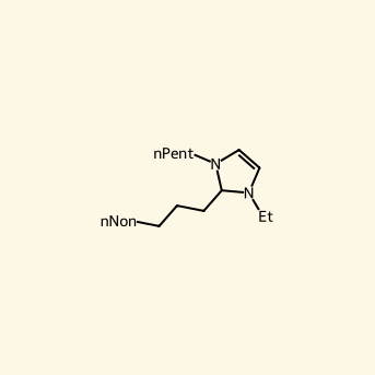 CCCCCCCCCCCCC1N(CC)C=CN1CCCCC